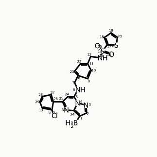 Bc1cnn2c(NCc3ccc(CNS(=O)(=O)c4cccs4)cc3)cc(-c3ccccc3Cl)nc12